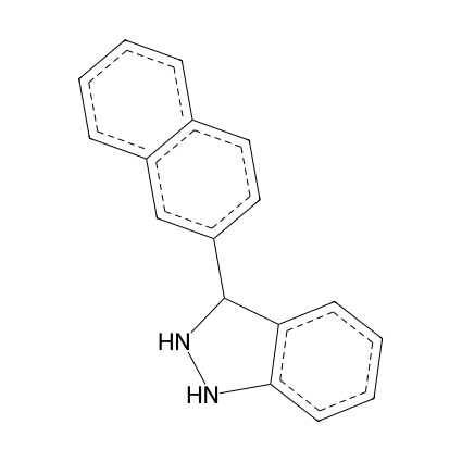 c1ccc2c(c1)NNC2c1ccc2ccccc2c1